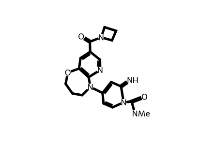 CNC(=O)n1ccc(N2CCCOc3cc(C(=O)N4CCC4)cnc32)cc1=N